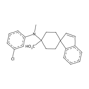 CN(c1cccc(Cl)c1)C1(C(=O)O)CCC2(C=Cc3ccccc32)CC1